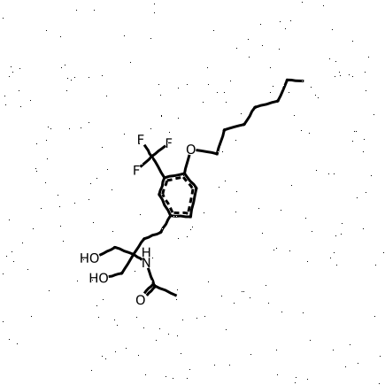 CCCCCCCOc1ccc(CCC(CO)(CO)NC(C)=O)cc1C(F)(F)F